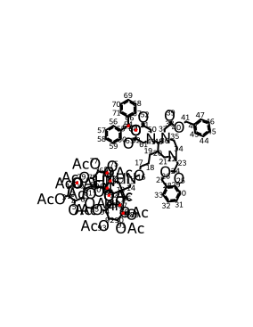 CC(=O)OCC(OC(C)=O)C(OC(C)=O)C(OC(C)=O)C(CONCC(CNOCCCC1CN(CC(=O)OCc2ccccc2)CCN(CC(=O)OCc2ccccc2)C1N(CC(=O)OCc1ccccc1)CC(=O)OCc1ccccc1)(CNC(=O)C(OC(C)=O)C(OC(C)=O)C(OC(C)=O)C(COC(C)=O)OC(C)=O)CNC(=O)C(OC(C)=O)C(OC(C)=O)C(OC(C)=O)C(COC(C)=O)OC(C)=O)OC(C)=O